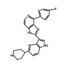 Fc1ccc(-c2nccc3[nH]c(-c4n[nH]c5ccc(C6CCNCC6)nc45)nc23)cc1